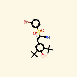 CC(C)(C)c1cc(/C=C(\C#N)S(=O)(=O)c2cccc(Br)c2)cc(C(C)(C)C)c1O